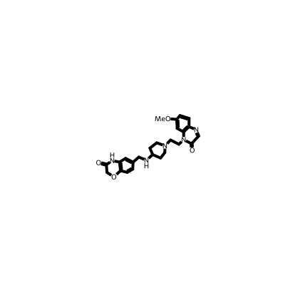 COc1ccc2ncc(=O)n(CCN3CCC(NCc4ccc5c(c4)NC(=O)CO5)CC3)c2c1